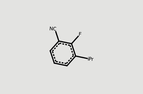 CC(C)c1cccc(C#N)c1F